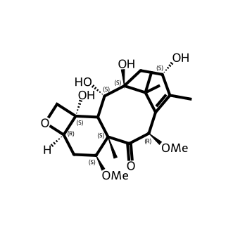 CO[C@H]1C(=O)[C@@]2(C)C([C@H](O)[C@]3(O)C[C@H](O)C(C)=C1C3(C)C)[C@]1(O)CO[C@@H]1C[C@@H]2OC